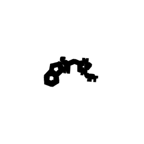 CC(C)n1cnc(Cc2nc3c(s2)Cc2ccccc2-3)c1